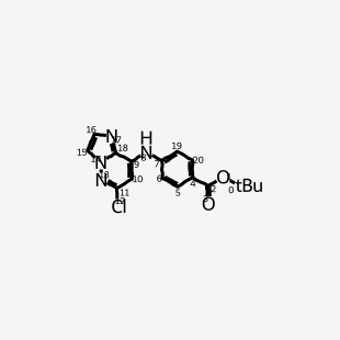 CC(C)(C)OC(=O)c1ccc(Nc2cc(Cl)nn3ccnc23)cc1